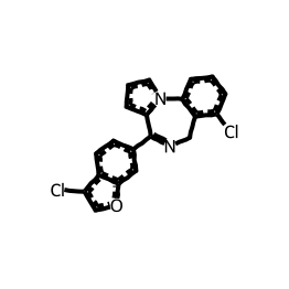 Clc1cccc2c1CN=C(c1ccc3c(Cl)coc3c1)c1cccn1-2